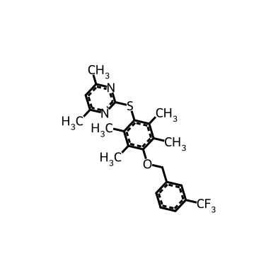 Cc1cc(C)nc(Sc2c(C)c(C)c(OCc3cccc(C(F)(F)F)c3)c(C)c2C)n1